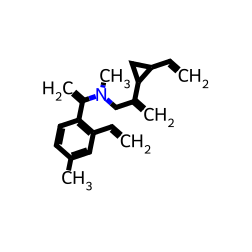 C=Cc1cc(C)ccc1C(=C)N(C)CC(=C)C1CC1C=C